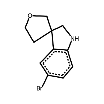 Brc1ccc2c(c1)C1(CCOC1)CN2